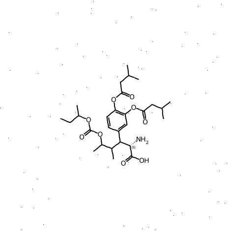 CCC(C)OC(=O)OC(C)C(C)C(c1ccc(OC(=O)CC(C)C)c(OC(=O)CC(C)C)c1)[C@H](N)C(=O)O